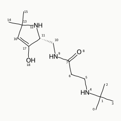 CC(C)(C)NCCC(=O)NC[C@H]1NC(C)(C)C=C1O